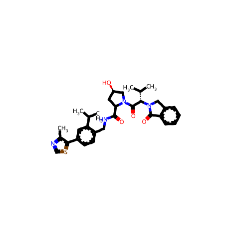 Cc1ncsc1-c1ccc(CNC(=O)C2C[C@@H](O)CN2C(=O)[C@H](C(C)C)N2Cc3ccccc3C2=O)c(C(C)C)c1